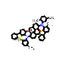 Cc1ccc(C)c(N(c2ccc3ccc4c(N(c5cc(C)ccc5C)c5c(C)ccc6c5sc5ccccc56)ccc5ccc2c3c54)c2c(C)ccc3c2sc2ccccc23)c1